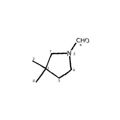 CC1(C)CCN(C=O)C1